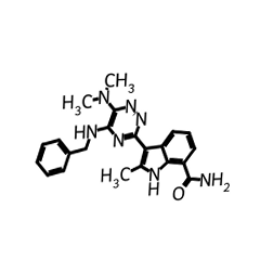 Cc1[nH]c2c(C(N)=O)cccc2c1-c1nnc(N(C)C)c(NCc2ccccc2)n1